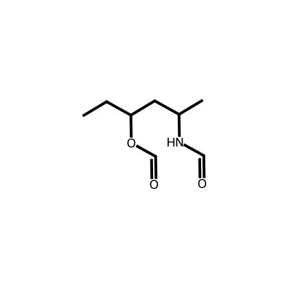 CCC(CC(C)NC=O)OC=O